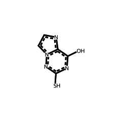 Oc1nc(S)nn2ccnc12